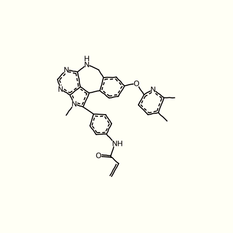 C=CC(=O)Nc1ccc(-c2c3c4c(ncnc4n2C)NCc2cc(Oc4ccc(C)c(C)n4)ccc2-3)cc1